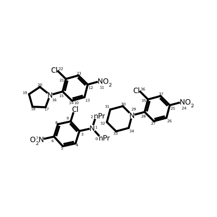 CCCN(CCC)c1ccc([N+](=O)[O-])cc1Cl.O=[N+]([O-])c1ccc(N2CCCC2)c(Cl)c1.O=[N+]([O-])c1ccc(N2CCCCC2)c(Cl)c1